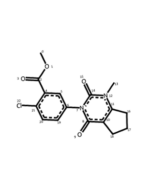 COC(=O)c1cc(-n2c(=O)c3c(n(C)c2=O)CCC3)ccc1Cl